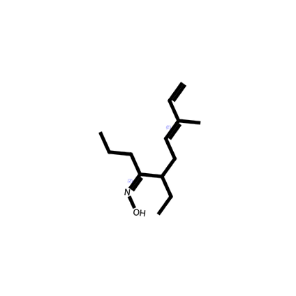 C=C/C(C)=C/CC(CC)/C(CCC)=N\O